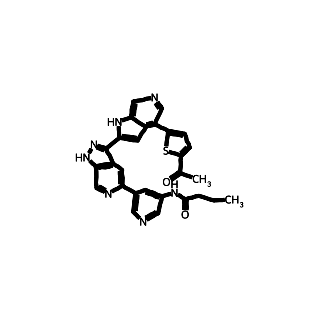 CCCC(=O)Nc1cncc(-c2cc3c(-c4cc5c(-c6ccc(C(C)=O)s6)cncc5[nH]4)n[nH]c3cn2)c1